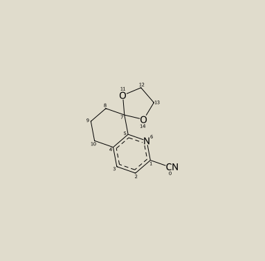 N#Cc1ccc2c(n1)C1(CCC2)OCCO1